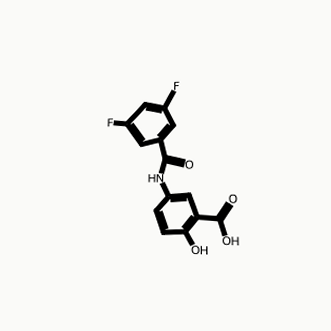 O=C(Nc1ccc(O)c(C(=O)O)c1)c1cc(F)cc(F)c1